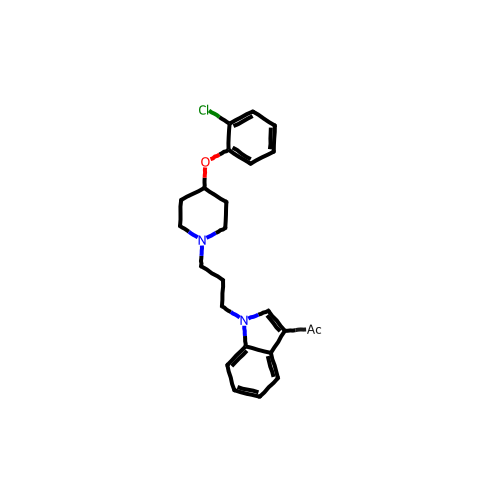 CC(=O)c1cn(CCCN2CCC(Oc3ccccc3Cl)CC2)c2ccccc12